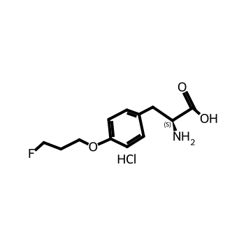 Cl.N[C@@H](Cc1ccc(OCCCF)cc1)C(=O)O